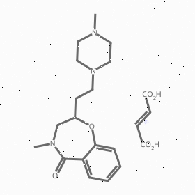 CN1CCN(CCC2CN(C)C(=O)c3ccccc3O2)CC1.O=C(O)/C=C/C(=O)O